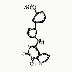 COc1cccc(-c2cccc(Nc3nc(=O)n(O)c4ncccc34)c2)c1